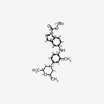 Cc1cc(N2CC(C)OC(C)C2)ccc1Nc1ccc2c(cnn2C(=O)OC(C)(C)C)c1